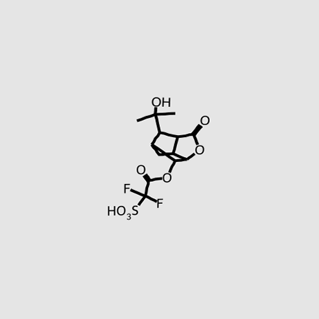 CC(C)(O)C1C2CC3C(OC(=O)C31)C2OC(=O)C(F)(F)S(=O)(=O)O